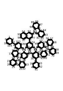 c1ccc(-c2ccc(N3c4cc([Si](c5ccccc5)(c5ccccc5)c5ccccc5)ccc4B4c5cc(-c6ccccc6)ccc5N(c5cccc([Si](c6ccccc6)(c6ccccc6)c6ccccc6)c5)c5cc(-c6cc(-n7c8ccccc8c8ccccc87)cc7ccccc67)cc3c54)cc2)cc1